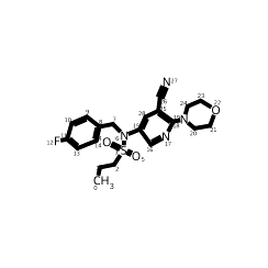 CCCS(=O)(=O)N(Cc1ccc(F)cc1)c1cnc(N2CCOCC2)c(C#N)c1